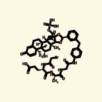 C[C@H](NC(=O)[C@H](CCC(=O)O)NC(=O)CBr)C(=O)NCC(=O)Nc1ccc(Cc2cccc([C@@H]3O[C@@H]4C[C@H]5[C@@H]6CCC7=CC(=O)C=C[C@]7(C)[C@@]6(F)[C@@H](O)C[C@]5(C)[C@]4(C(=O)COP(=O)(O)O)O3)c2)cc1